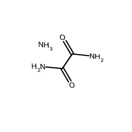 N.NC(=O)C(N)=O